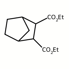 CCOC(=O)C1C2CCC(C2)C1C(=O)OCC